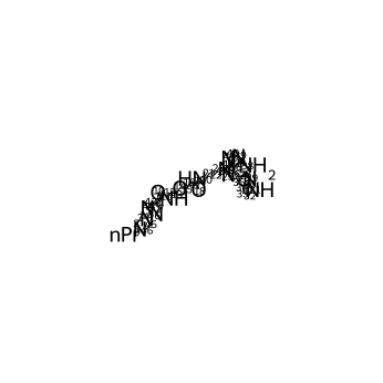 CCCN1CCN(c2ncc(C(=O)NCCOCCC(=O)NCCCCn3nc(-c4cnc5[nH]ccc5c4)c4c(N)ncnc43)cn2)CC1